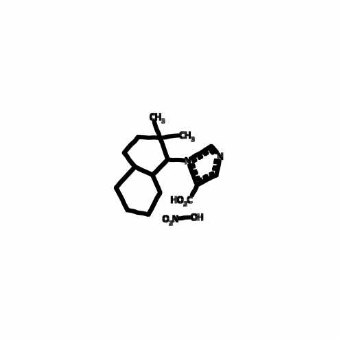 CC1(C)CCC2CCCCC2C1n1cncc1C(=O)O.O=[N+]([O-])O